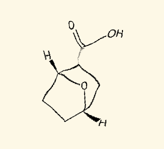 O=C(O)[C@@H]1C[C@@H]2CC[C@H]1O2